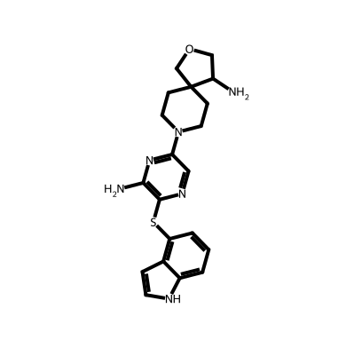 Nc1nc(N2CCC3(CC2)COCC3N)cnc1Sc1cccc2[nH]ccc12